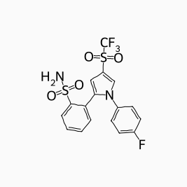 NS(=O)(=O)c1ccccc1-c1cc(S(=O)(=O)C(F)(F)F)cn1-c1ccc(F)cc1